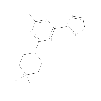 Cc1cc(-c2ncon2)nc(N2CCC(F)(F)CC2)n1